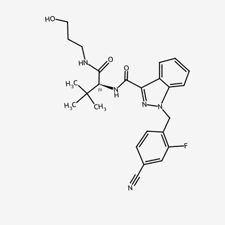 CC(C)(C)[C@H](NC(=O)c1nn(Cc2ccc(C#N)cc2F)c2ccccc12)C(=O)NCCCO